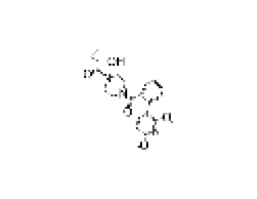 COc1ccc(-c2ccccc2C(=O)N2CCN(C(=O)C3(O)CC3)CC2)c(OC)n1